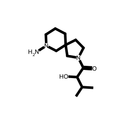 CC(C)C(O)C(=O)N1CCC2(CCCN(N)C2)C1